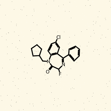 O=C1C(F)N=C(c2ccccc2)c2cc(Cl)ccc2N1CC1CCCC1